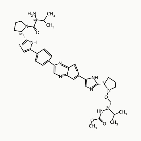 COC(=O)N[C@H](CON1CCC[C@H]1c1ncc(-c2ccc3nc(-c4ccc(-c5cnc([C@@H]6CCCN6C(=O)[C@@H](N)C(C)C)[nH]5)cc4)cnc3c2)[nH]1)C(C)C